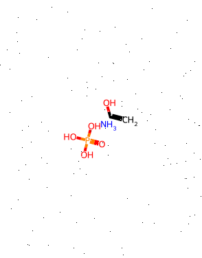 C=CO.N.O=P(O)(O)O